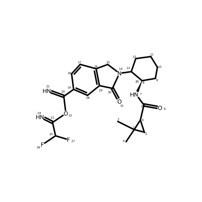 CC1(C)CC1C(=O)N[C@@H]1CCCCC1N1Cc2ccc(C(=N)OC(=N)C(F)F)cc2C1=O